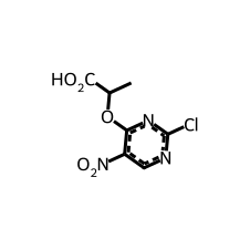 CC(Oc1nc(Cl)ncc1[N+](=O)[O-])C(=O)O